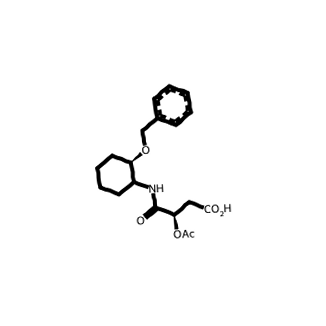 CC(=O)O[C@H](CC(=O)O)C(=O)NC1CCCC[C@H]1OCc1ccccc1